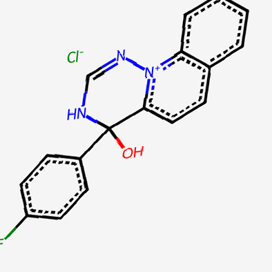 OC1(c2ccc(F)cc2)NC=N[n+]2c1ccc1ccccc12.[Cl-]